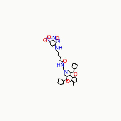 Cc1cccc(C2C(C(=O)c3ccccc3)CN(CCNC(=O)CCCCCNc3ccc([N+](=O)[O-])c4nonc34)CC2C(=O)c2ccccc2)c1C